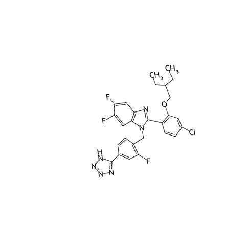 CCC(CC)COc1cc(Cl)ccc1-c1nc2cc(F)c(F)cc2n1Cc1ccc(-c2nnn[nH]2)cc1F